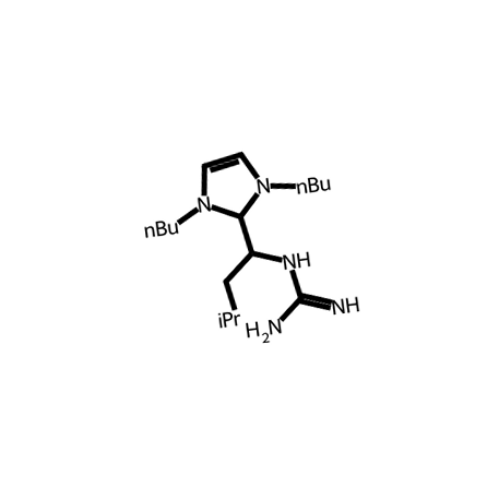 CCCCN1C=CN(CCCC)C1C(CC(C)C)NC(=N)N